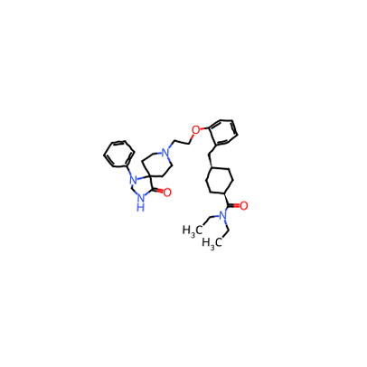 CCN(CC)C(=O)[C@H]1CC[C@@H](Cc2ccccc2OCCN2CCC3(CC2)C(=O)NCN3c2ccccc2)CC1